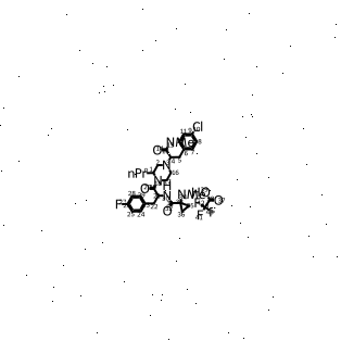 CCCC1CN(C(Cc2ccc(Cl)cc2)C(=O)NC)CCN1C(=O)C(Cc1ccc(F)cc1)NC(=O)C1(NC)CC1.O=C(O)C(F)(F)F